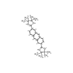 CC1(C)OB(c2ccc3cc4cc(B5OC(C)(C)C(C)(C)O5)ccc4cc3c2)OC1(C)C